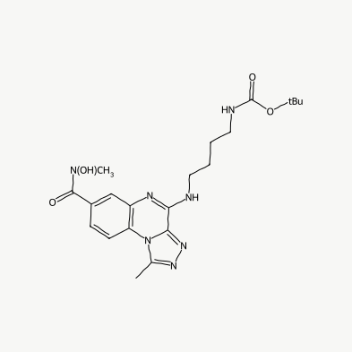 Cc1nnc2c(NCCCCNC(=O)OC(C)(C)C)nc3cc(C(=O)N(C)O)ccc3n12